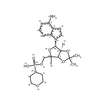 CC1(C)OC2[C@H](O1)[C@H](n1cnc3c(N)ncnc31)OC2(F)COP(=O)(O)N1CCOCC1